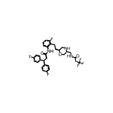 O=C(CC(F)(F)F)NCC1COC(CCc2c(F)cccc2NC(=O)CC(c2ccc(F)cc2)c2ccc(F)cc2)CN1